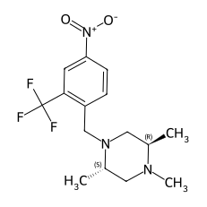 C[C@@H]1CN(Cc2ccc([N+](=O)[O-])cc2C(F)(F)F)[C@@H](C)CN1C